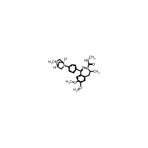 CNC(=O)N1N=C(c2ccc(N3C[C@@H]4C[C@H]3CN4C)cc2)c2cc(OC)c(OC)cc2CC1C